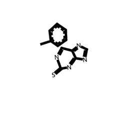 Cc1ccccc1.S=C1N=CC2=NC=NC2=N1